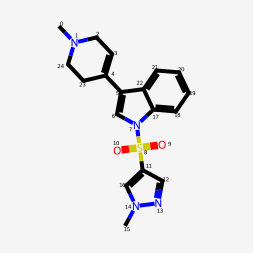 CN1CC=C(c2cn(S(=O)(=O)c3cnn(C)c3)c3ccccc23)CC1